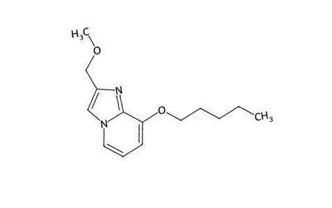 CCCCCOc1cccn2cc(COC)nc12